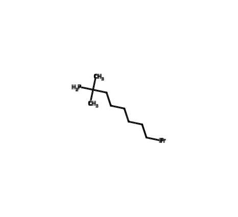 CC(C)CCCCCCC(C)(C)P